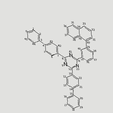 c1ccc(-c2ccc(-c3nc(-c4ccc(-c5ccccc5)cc4)nc(-c4cccc(-c5cccc6ccccc56)c4)n3)cc2)cc1